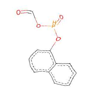 O=CO[PH](=O)Oc1cccc2ccccc12